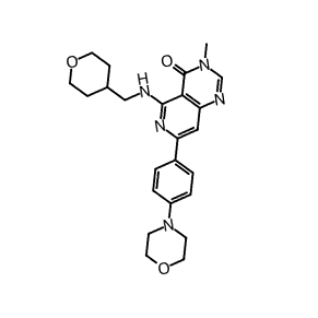 Cn1cnc2cc(-c3ccc(N4CCOCC4)cc3)nc(NCC3CCOCC3)c2c1=O